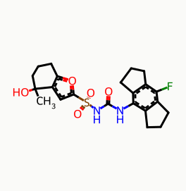 CC1(O)CCCc2oc(S(=O)(=O)NC(=O)Nc3c4c(c(F)c5c3CCC5)CCC4)cc21